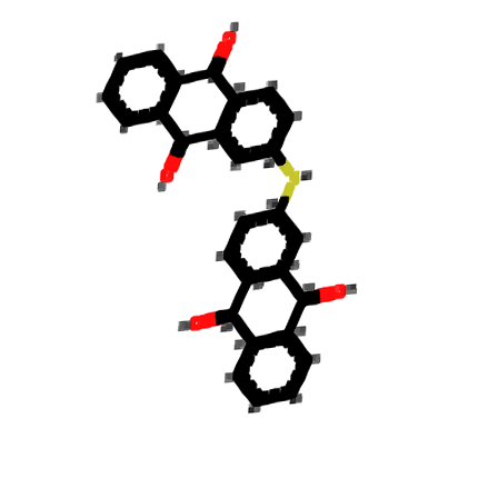 O=C1c2ccccc2C(=O)c2cc(Sc3ccc4c(c3)C(=O)c3ccccc3C4=O)ccc21